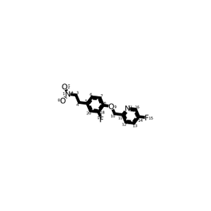 O=[N+]([O-])CCc1ccc(OCc2ccc(F)cn2)c(F)c1